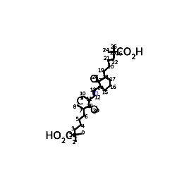 CC(C)(CCCCC1CCCC(/C=C/C2CCCC(CCCCC(C)(C)C(=O)O)C2=O)C1=O)C(=O)O